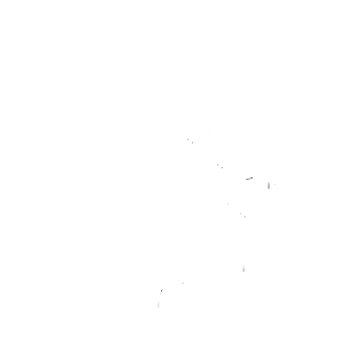 CC[C@H](C)CNC(=O)CC(O)C(CC(C)C)NC(=O)[C@H](CC(C)C)NC(=O)[C@H](Cc1cccc2ccccc12)NC(=O)OCc1ccccc1